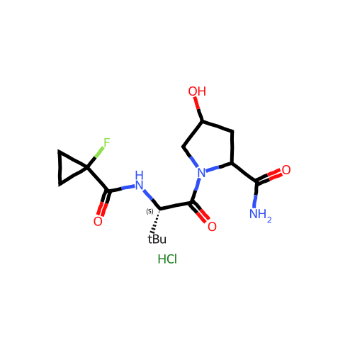 CC(C)(C)[C@H](NC(=O)C1(F)CC1)C(=O)N1CC(O)CC1C(N)=O.Cl